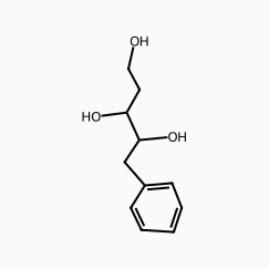 OCCC(O)C(O)Cc1ccccc1